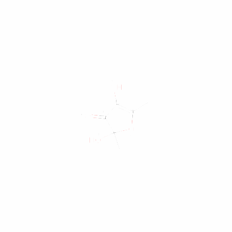 CC1=C(O)C(=O)C(C)(O)O1